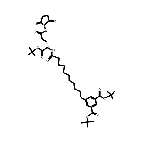 CC(C)(C)OC(=O)c1cc(OCCCCCCCCCC(=O)N[C@@H](CCC(=O)ON2C(=O)CCC2=O)C(=O)OC(C)(C)C)cc(C(=O)OC(C)(C)C)c1